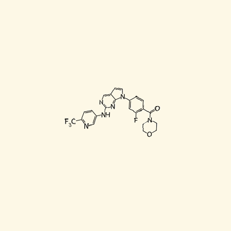 O=C(c1ccc(-n2ccc3cnc(Nc4ccc(C(F)(F)F)nc4)nc32)cc1F)N1CCOCC1